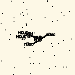 CCCCCCCCCCCCCCCC(=O)OC(CCCCCCCCCCCCCCC)CC(=O)NCCCCC(=O)N[C@@H](CCC(=O)O)C(=O)O